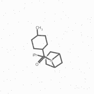 CC1CCC(C(=O)N2C3CC2CN(C(C)C)C3)CC1